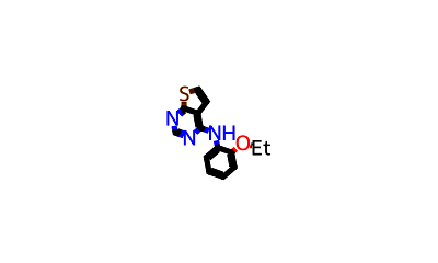 CCOc1ccccc1Nc1ncnc2sccc12